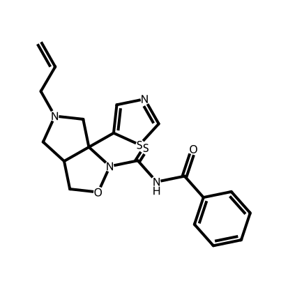 C=CCN1CC2CON(C(=S)NC(=O)c3ccccc3)C2(c2cncs2)C1